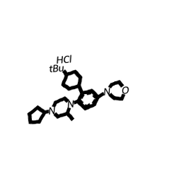 CC1CN(C2CCCC2)CCN1c1ccc(N2CCOCC2)cc1C1CCC(C(C)(C)C)CC1.Cl